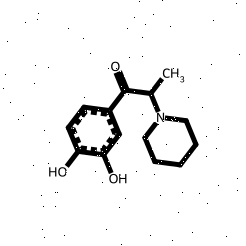 CC(C(=O)c1ccc(O)c(O)c1)N1CCCCC1